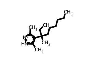 CCCCCCC(C)(CC)c1c(C)n[nH]c1C